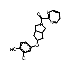 N#Cc1ccc(OC2CC3CN(C(=O)C4=NC=CCC=N4)CC3C2)cc1Cl